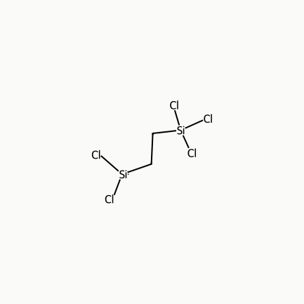 Cl[Si](Cl)CC[Si](Cl)(Cl)Cl